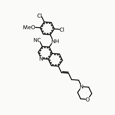 COc1cc(Nc2c(C#N)cnc3cc(/C=C/CCN4CCOCC4)ccc23)c(Cl)cc1Cl